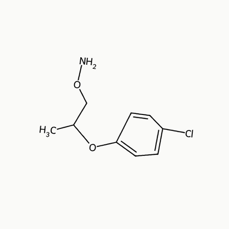 CC(CON)Oc1ccc(Cl)cc1